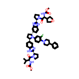 COC(=O)N[C@H](C(=O)N1CCC[C@H]1c1nc2cc([C@H]3CC[C@H](c4ccc5[nH]c([C@@H]6CCCN6C(=O)[C@@H](NC(=O)OC)C6CCOCC6)nc5c4)N3c3ccc(N4CCC(c5ccccc5)CC4)c(F)c3)ccc2[nH]1)C(C)C